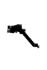 CCCCCCCCCCCCCCCCCCCC(=O)N[C@H]1CC[C@]2(C)C3C[C@H](O)[C@@]4(C)C(CC[C@@H]4[C@H](C)CCC(=O)O)C3[C@H](O)C[C@@H]2C1